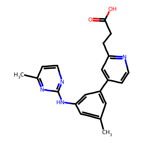 Cc1cc(Nc2nccc(C)n2)cc(-c2ccnc(CCC(=O)O)c2)c1